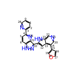 c1ccc(-c2ccc3[nH]nc(-c4cc5c(-c6ccoc6)cncc5[nH]4)c3n2)nc1